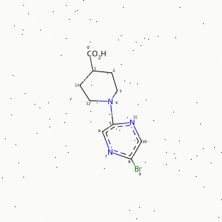 O=C(O)C1CCN(c2cnc(Br)cn2)CC1